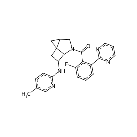 Cc1ccc(NC2CC34CC3CN(C(=O)c3c(F)cccc3-c3ncccn3)C24)nc1